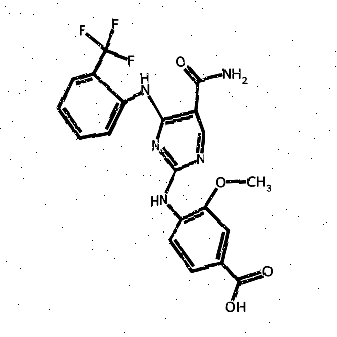 COc1cc(C(=O)O)ccc1Nc1ncc(C(N)=O)c(Nc2ccccc2C(F)(F)F)n1